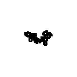 O=C1OC(c2cccc3ccoc23)=NC1=CN1CCN(C(=O)Nc2ccccc2)CC1